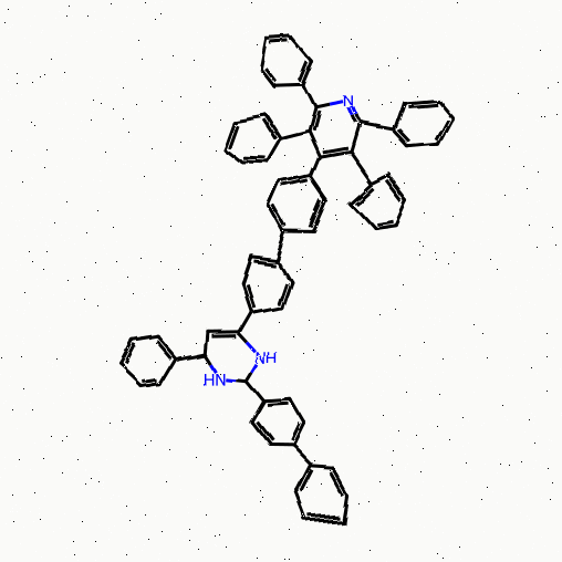 C1=C(c2ccc(-c3ccc(-c4c(-c5ccccc5)c(-c5ccccc5)nc(-c5ccccc5)c4-c4ccccc4)cc3)cc2)NC(c2ccc(-c3ccccc3)cc2)NC1c1ccccc1